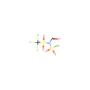 O=CN(S(=O)(=O)Cl)S(=O)(=O)C(F)(F)F